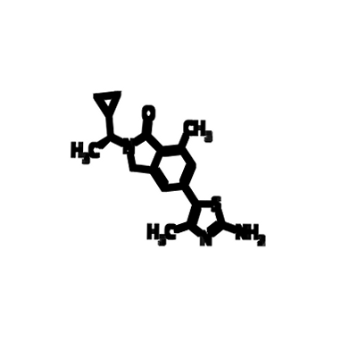 Cc1cc(-c2sc(N)nc2C)cc2c1C(=O)N([C@@H](C)C1CC1)C2